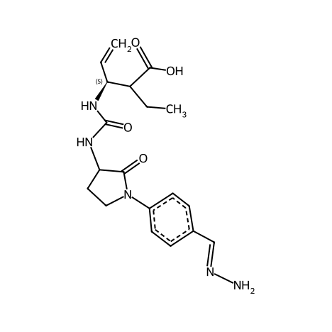 C=C[C@H](NC(=O)NC1CCN(c2ccc(C=NN)cc2)C1=O)C(CC)C(=O)O